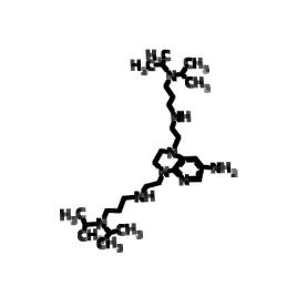 CC(C)N(CCCNCCN1CCN(CCNCCCN(C(C)C)C(C)C)c2ncc(N)cc21)C(C)C